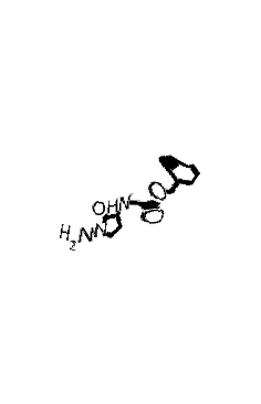 NN1CCC(NC(=O)OCc2ccccc2)C1=O